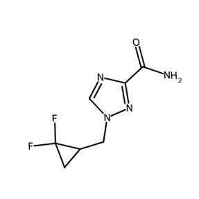 NC(=O)c1ncn(CC2CC2(F)F)n1